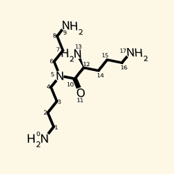 NCCCCN(CCCN)C(=O)[C@@H](N)CCCN